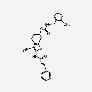 Cc1nocc1CNC(=O)OC1CCc2c(sc(NC(=O)C=Cc3cccnc3)c2C#N)C1